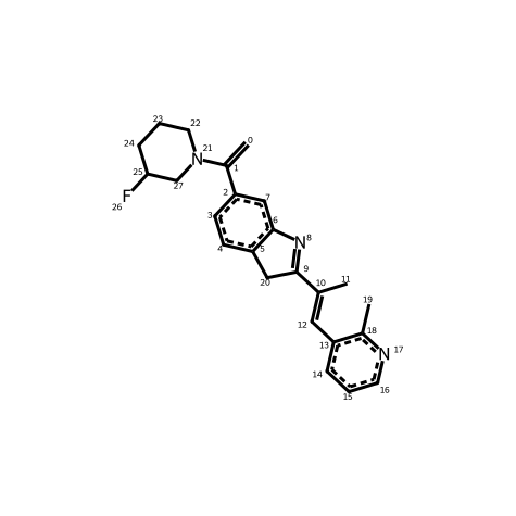 C=C(c1ccc2c(c1)N=C(/C(C)=C/c1cccnc1C)C2)N1CCCC(F)C1